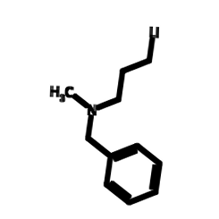 [Li][CH2]CCN(C)Cc1ccccc1